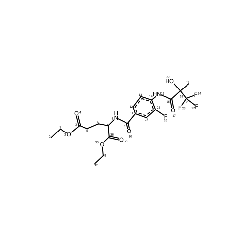 CCOC(=O)CCC(NC(=O)c1ccc(NC(=O)C(C)(O)C(F)(F)F)c(F)c1)C(=O)OCC